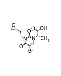 C[C@@H](C(=O)O)n1cc(Br)c(=O)n(CC[C@H]2CO2)c1=O